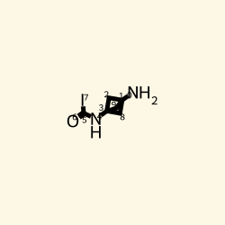 NC12CC(NC(=O)I)(C1)C2